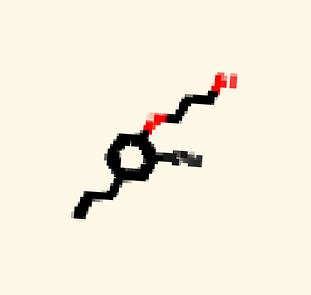 C=CCc1ccc(OCCCO)c(OC)c1